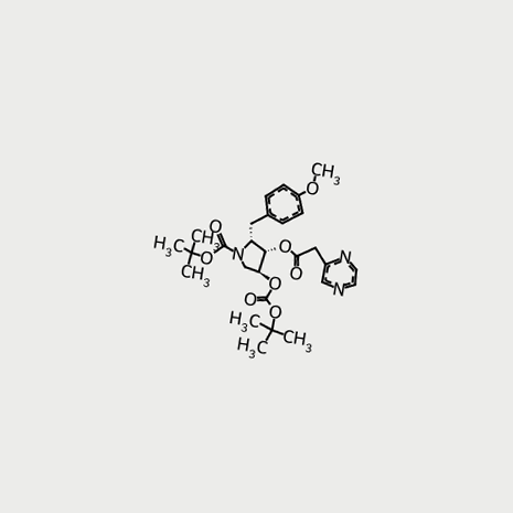 COc1ccc(C[C@@H]2[C@H](OC(=O)Cc3cnccn3)[C@@H](OC(=O)OC(C)(C)C)CN2C(=O)OC(C)(C)C)cc1